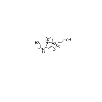 C=C(C)C1NC(C2(S(=O)(=O)CCCO)CC2)=C[C@@H](N[C@@H](C)CO)N1